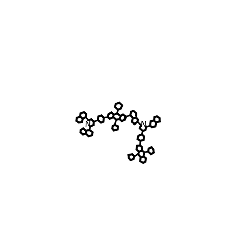 c1ccc(-c2c3ccccc3c(-c3ccccc3)c3cc(-c4ccc(-c5cc(-c6ccc7ccccc7c6)nc(-c6ccc7c(-c8ccc9c(-c%10ccccc%10)c%10cc(-c%11ccc(-c%12cc(-c%13cccc%14ccccc%13%14)nc(-c%13cccc%14ccccc%13%14)c%12)cc%11)ccc%10c(-c%10ccccc%10)c9c8)cccc7c6)c5)cc4)ccc23)cc1